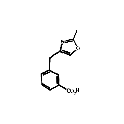 Cc1nc(Cc2cccc(C(=O)O)c2)co1